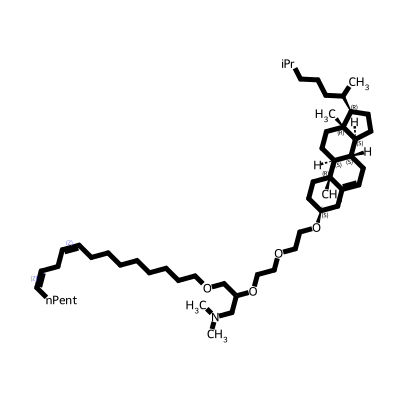 CCCCC/C=C\C/C=C\CCCCCCCCOCC(CN(C)C)OCCOCCO[C@H]1CC[C@@]2(C)C(=CC[C@H]3[C@@H]4CC[C@H](C(C)CCCC(C)C)[C@@]4(C)CC[C@@H]32)C1